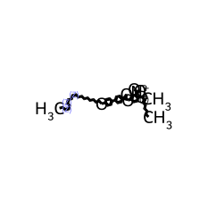 CC/C=C\C/C=C\C/C=C\CCCCCCCCOc1ccc(-c2ccc(C(=O)Oc3ccc(O[C@@H](C)CCCCCC)c([N+](=O)[O-])c3)cc2)cc1